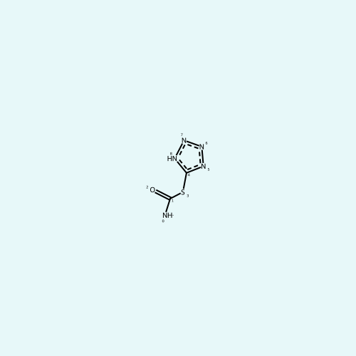 [NH]C(=O)Sc1nnn[nH]1